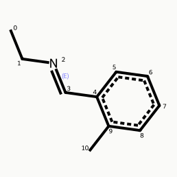 CC/N=C/c1ccccc1C